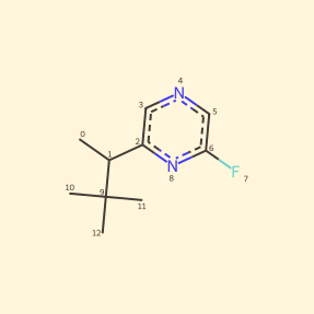 CC(c1cncc(F)n1)C(C)(C)C